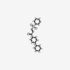 O=C(/C=C/S(=O)(=O)c1ccccc1)c1ccc(-c2ccccc2)cc1